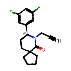 C#CCN1C(=O)C2(CCCC2)CC[C@H]1c1cc(F)cc(F)c1